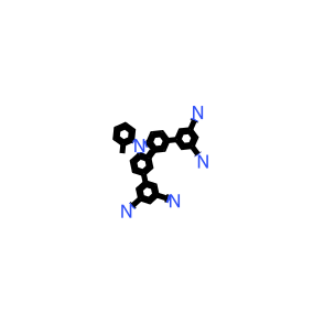 Cc1ccccc1-n1c2ccc(-c3cc(C#N)cc(C#N)c3)cc2c2cc(-c3cc(C#N)cc(C#N)c3)ccc21